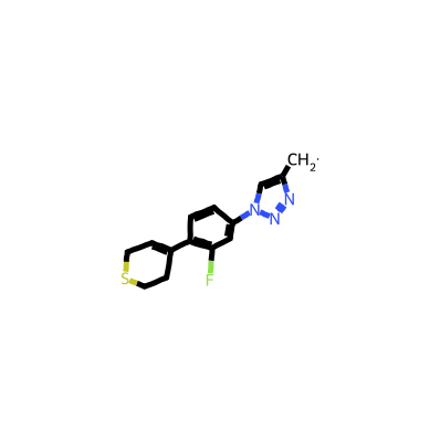 [CH2]c1cn(-c2ccc(C3=CCSCC3)c(F)c2)nn1